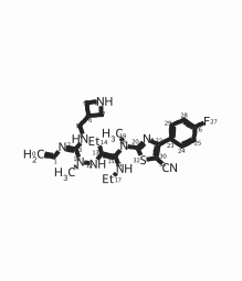 C=C/N=C(/NCC1CNC1)N(C)N/C(CC)=C(\NCC)N(C)c1nc(-c2ccc(F)cc2)c(C#N)s1